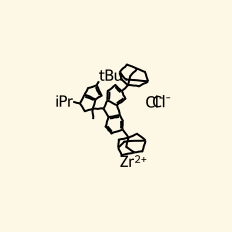 CC(C)C1CC(C)(C2c3ccc(C45CC6CC(CC(C6)C4)C5)cc3-c3cc(C45CC6CC(CC(C6)C4)C5)ccc32)C2=C1CC(C(C)(C)C)=C2.[Cl-].[Cl-].[Zr+2]